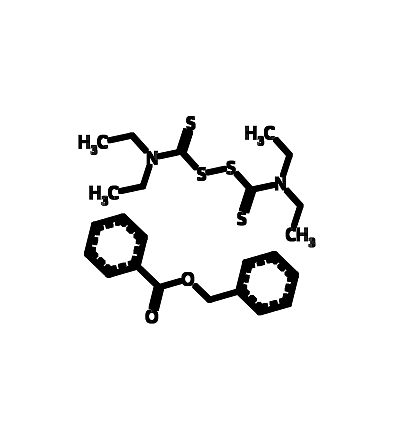 CCN(CC)C(=S)SSC(=S)N(CC)CC.O=C(OCc1ccccc1)c1ccccc1